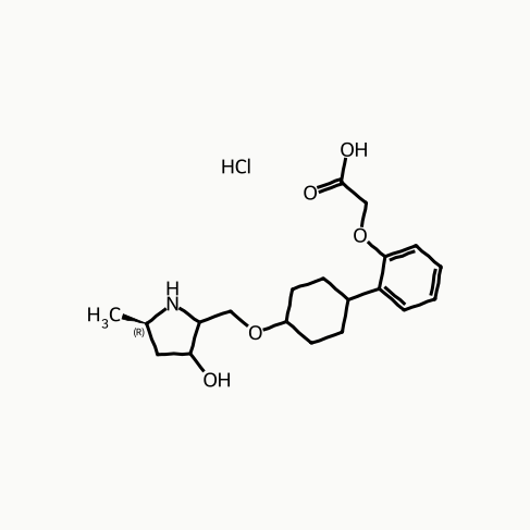 C[C@@H]1CC(O)C(COC2CCC(c3ccccc3OCC(=O)O)CC2)N1.Cl